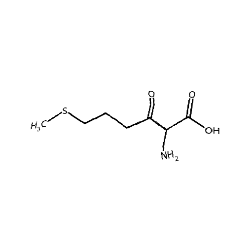 CSCCCC(=O)C(N)C(=O)O